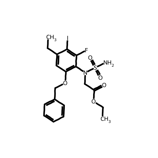 CCOC(=O)CN(c1c(OCc2ccccc2)cc(CC)c(I)c1F)S(N)(=O)=O